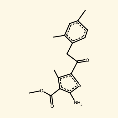 COC(=O)c1c(N)sc(C(=O)Cc2ccc(C)cc2C)c1C